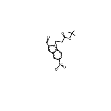 CC(C)(C)OC(=O)CCn1c(C=O)cc2cc([N+](=O)[O-])ccc21